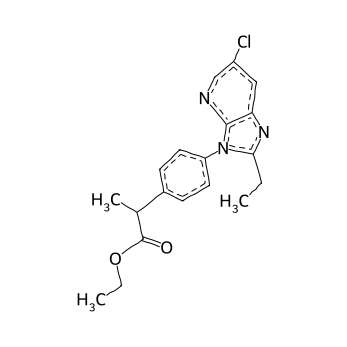 CCOC(=O)C(C)c1ccc(-n2c(CC)nc3cc(Cl)cnc32)cc1